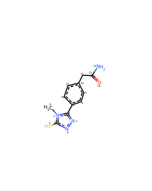 Cn1c(S)nnc1-c1ccc(CC(N)=O)cc1